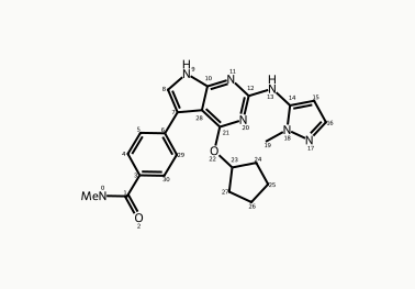 CNC(=O)c1ccc(-c2c[nH]c3nc(Nc4ccnn4C)nc(OC4CCCC4)c23)cc1